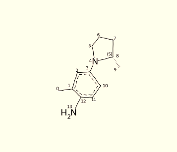 Cc1cc(N2CCC[C@@H]2C)ccc1N